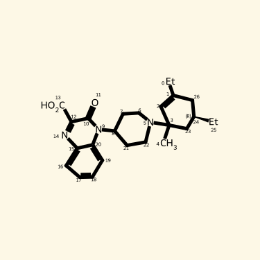 CCC1=CC(C)(N2CCC(n3c(=O)c(C(=O)O)nc4ccccc43)CC2)C[C@H](CC)C1